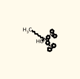 CCCCCCCCCCC(O)n1c2ccc(-n3c4ccccc4c4ccccc43)cc2c2cc(-n3c4ccccc4c4ccccc43)ccc21